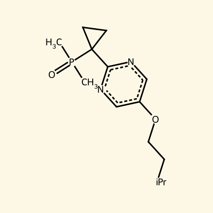 CC(C)CCOc1cnc(C2(P(C)(C)=O)CC2)nc1